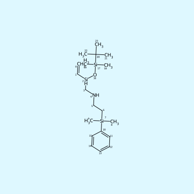 C=C[SiH](CNCC[Si](C)(C)c1ccccc1)O[Si](C)(C)C(C)(C)C